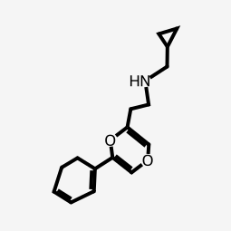 C1=CCCC(C2=COC=C(CCNCC3CC3)O2)=C1